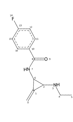 C=C1C(NCC)C1NC(=O)c1ccc(F)cc1